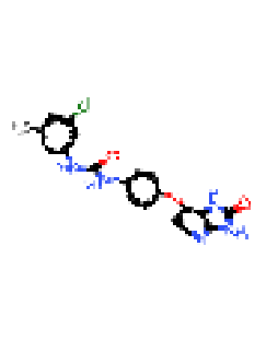 O=C(Nc1ccc(Oc2ccnc3[nH]c(=O)[nH]c23)cc1)Nc1cc(Cl)cc(C(F)(F)F)c1